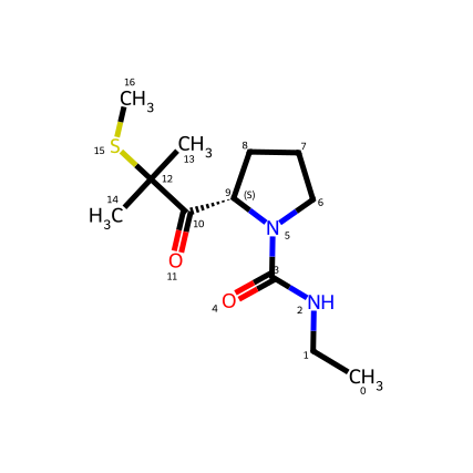 CCNC(=O)N1CCC[C@H]1C(=O)C(C)(C)SC